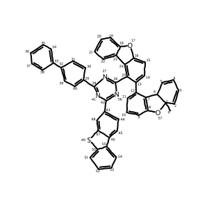 CC12C=CC=CC1c1c(cccc1-c1ccc3oc4ccccc4c3c1-c1nc(-c3ccc(-c4ccccc4)cc3)nc(-c3ccc4c(c3)sc3ccccc34)n1)O2